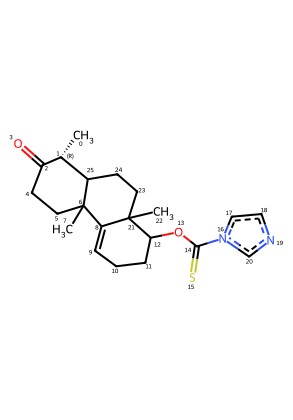 C[C@H]1C(=O)CCC2(C)C3=CCCC(OC(=S)n4ccnc4)C3(C)CCC12